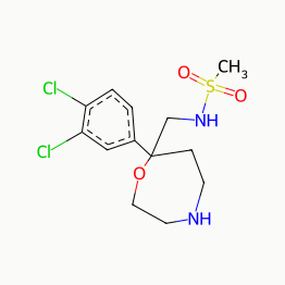 CS(=O)(=O)NCC1(c2ccc(Cl)c(Cl)c2)CCNCCO1